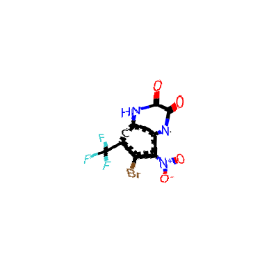 O=C1[N]c2c(cc(C(F)(F)F)c(Br)c2[N+](=O)[O-])NC1=O